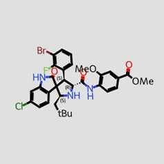 COC(=O)c1ccc(NC(=O)[C@@H]2N[C@@H](CC(C)(C)C)C3(C(=O)Nc4cc(Cl)ccc43)[C@H]2c2cccc(Br)c2F)c(OC)c1